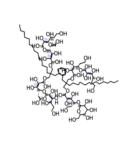 CCCCCCCCCCCCCCC(CO[C@H](O)/C(O)=C(/O)[C@@H](CCO)O[C@H](O)/C(O)=C(\O)[C@H](O)CCO)(CO[C@H](O)/C(O)=C(\O)[C@@H](CCO)O[C@@H]1OC(CO)[C@@H](O)C(O)C1O)Cc1ccccc1CC(CCCCCCCCCCCCCC)(CO[C@H](O)/C(O)=C(/O)[C@@H](CCO)O[C@H](O)/C(O)=C(/O)[C@H](O)CCO)CO[C@H](O)/C(O)=C(\O)[C@@H](CCO)O[C@H](O)/C(O)=C(\O)[C@H](O)CCO